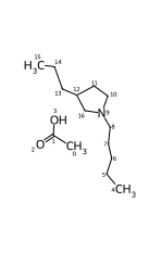 CC(=O)O.CCCCCN1CCC(CCC)C1